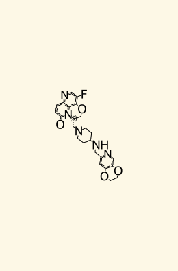 O=c1ccc2ncc(F)c3c2n1[C@@H](CN1CCC(NCc2cc4c(cn2)OCCO4)CC1)CO3